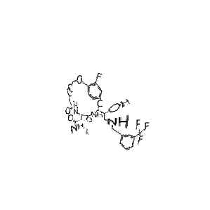 NC(=O)CC1NC(=O)CCCCOc2ccc(cc2F)CC(C(O)CNCc2cccc(C(F)(F)F)c2)NC1=O